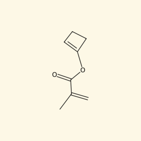 C=C(C)C(=O)OC1=CCC1